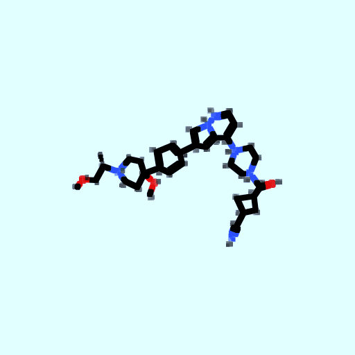 COC[C@H](C)N1CCC(OC)(c2ccc(-c3cc4c(N5CCN(C(=O)C6CC(C#N)C6)CC5)ccnn4c3)cc2)CC1